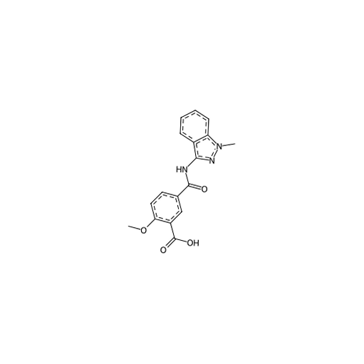 COc1ccc(C(=O)Nc2nn(C)c3ccccc23)cc1C(=O)O